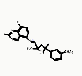 COc1cccc(C(C)(C)CC(O)(/C=N/c2ccc(F)c3nc(C)ncc23)C(F)(F)F)c1